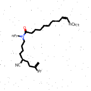 C=C(CCC(C#N)CCCCN(CCC)C(=O)CCCCCCC/C=C\CCCCCCCC)C(C)C